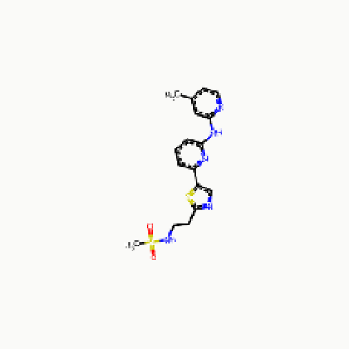 Cc1ccnc(Nc2cccc(-c3cnc(CCNS(C)(=O)=O)s3)n2)c1